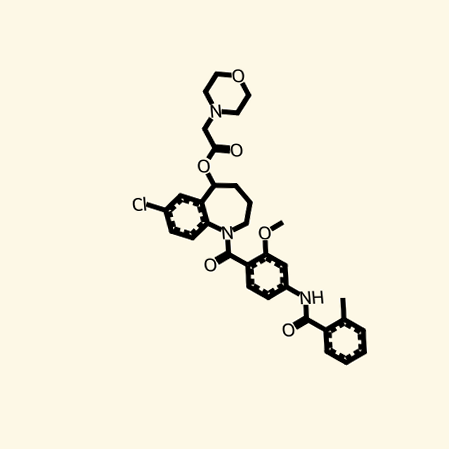 COc1cc(NC(=O)c2ccccc2C)ccc1C(=O)N1CCCC(OC(=O)CN2CCOCC2)c2cc(Cl)ccc21